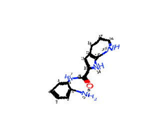 Nc1ccccc1NC(=O)c1cc2c([nH]1)NCCC2